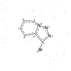 Brc1nnn2ccccc12